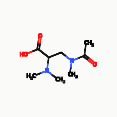 CC(=O)N(C)CC(C(=O)O)N(C)C